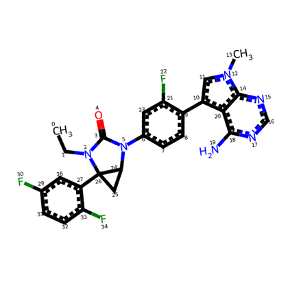 CCN1C(=O)N(c2ccc(-c3cn(C)c4ncnc(N)c34)c(F)c2)C2CC21c1cc(F)ccc1F